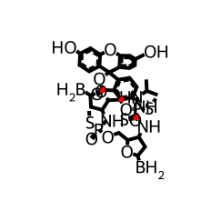 BC1CC(NC(=S)Nc2ccc3c(c2)C(=O)OC32c3ccc(O)cc3Oc3cc(O)ccc32)C(COP(=O)(NC2CC(B)OC2COP(=O)(NC(C)C)SC)SC)O1